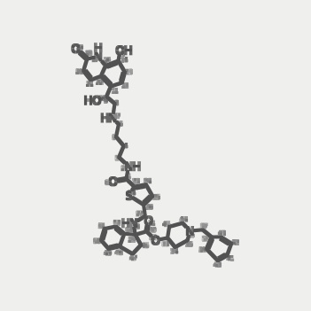 O=C(NCCCCNC[C@H](O)c1ccc(O)c2[nH]c(=O)ccc12)c1ccc(CNC2(C(=O)OC3CCN(Cc4ccccc4)CC3)CCc3ccccc32)s1